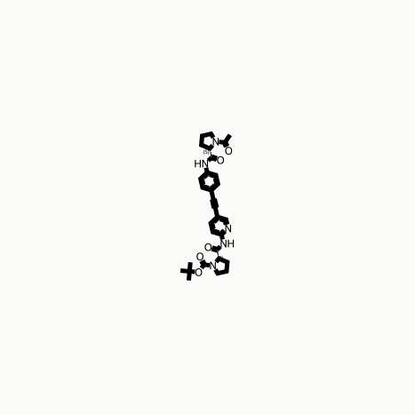 CC(=O)N1CCC[C@H]1C(=O)Nc1ccc(C#Cc2ccc(NC(=O)[C@@H]3CCCN3C(=O)OC(C)(C)C)nc2)cc1